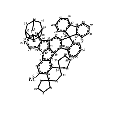 N#Cc1cc2c(c3c1C1(CCCC1)CCC31CCCC1)c1c3c(cc4c5c6c(ncc5n2c41)C1CC2CC(C1)CC6C2)C1(c2ccccc2-c2ccccc21)c1ccccc1-3